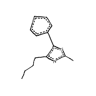 CCCCc1nc(C)sc1-c1ccccc1